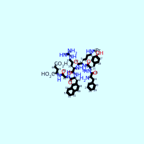 CC(C)NCCCC[C@H](NC(=O)[C@H](Cc1ccc(O)cc1)NC(=O)[C@@H](N)Cc1ccccc1)C(=O)N[C@H](CCCNC(=N)N)C(=O)N[C@@H](Cc1ccc2ccccc2c1)C(=O)NCC(=O)N[C@H](CCC(=O)O)C(=O)O